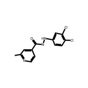 Cc1cc(C(=O)[N]Nc2ccc(Cl)c(Cl)c2)ccn1